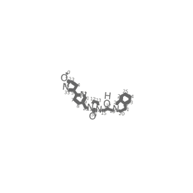 COc1ccc(-c2ccc(CN3CCN(CC(O)CN4CCc5ccccc5C4)C3=O)cn2)cn1